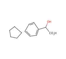 C1CCCC1.O=C(O)C(O)c1ccccc1